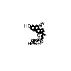 CC(C)OC1CC2CC(O)CCC2(C)C2CC(O)C3(C)C(C(C)CCC(=O)OCOP(=O)(O)O)CCC3C12